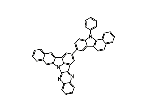 c1ccc(-n2c3ccc(-c4cc5c6cc7ccccc7cc6n6c7nc8ccccc8nc7c(c4)c56)cc3c3ccc4ccccc4c32)cc1